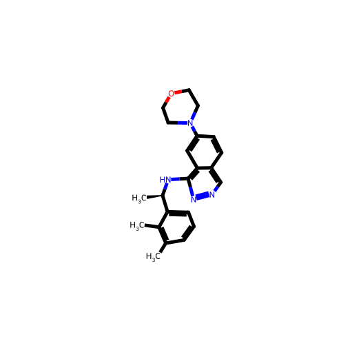 Cc1cccc([C@@H](C)Nc2nncc3ccc(N4CCOCC4)cc23)c1C